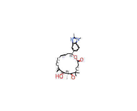 Cc1nc2cc([C@@H]3C/C=C/CCC[C@H](C)[C@H](O)[C@@H](C)C(=O)C(C)(C)CCC(=O)O3)ccc2n1C